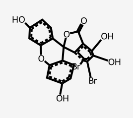 O=C1OC2(c3ccc(O)cc3Oc3cc(O)ccc32)c2c(Br)c(Br)c(O)c(O)c21